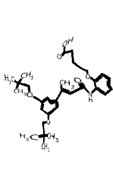 C/C(=C\C(=O)Nc1ccccc1OCCCC(=O)O)c1cc(OCC(C)(C)C)cc(OCC(C)(C)C)c1